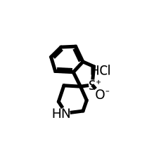 Cl.[O-][S+]1Cc2ccccc2C12CCNCC2